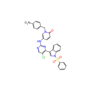 O=c1ccc(Nc2ncc(Cl)c(-c3cn(S(=O)(=O)c4ccccc4)c4ccccc34)n2)cn1Cc1ccc([N+](=O)[O-])cc1